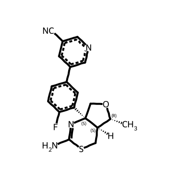 C[C@H]1OC[C@]2(c3cc(-c4cncc(C#N)c4)ccc3F)N=C(N)SC[C@H]12